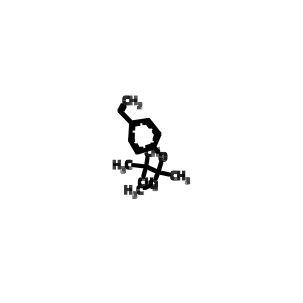 C=Cc1ccc(OC(C)(OC)C(C)(C)C)cc1